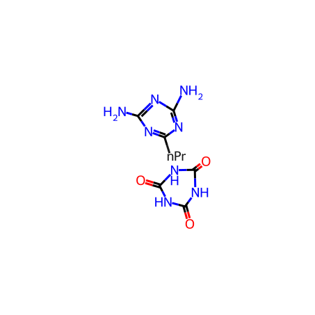 CCCc1nc(N)nc(N)n1.O=c1[nH]c(=O)[nH]c(=O)[nH]1